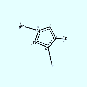 CCc1cn(C(C)C)nc1I